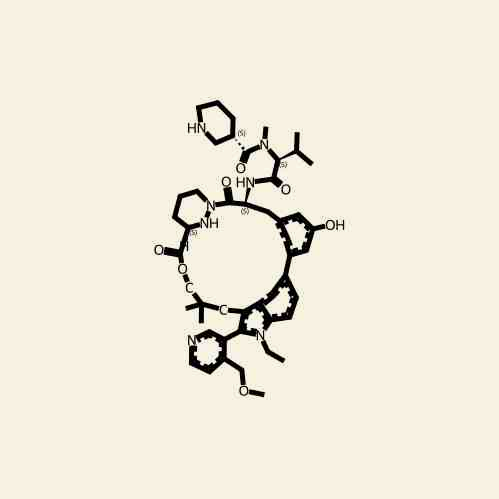 CCn1c(-c2cnccc2COC)c2c3cc(ccc31)-c1cc(O)cc(c1)C[C@H](NC(=O)[C@H](C(C)C)N(C)C(=O)[C@H]1CCCNC1)C(=O)N1CCC[C@H](N1)C(=O)OCC(C)(C)C2